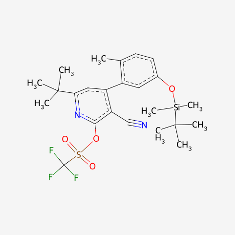 Cc1ccc(O[Si](C)(C)C(C)(C)C)cc1-c1cc(C(C)(C)C)nc(OS(=O)(=O)C(F)(F)F)c1C#N